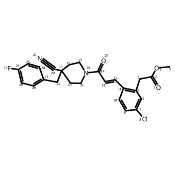 COC(=O)Cc1cc(Cl)ccc1C=CC(=O)N1CCC(C#N)(Cc2ccc(F)cc2)CC1